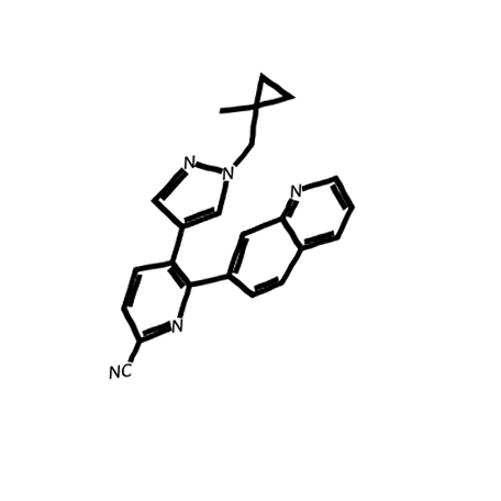 CC1(Cn2cc(-c3ccc(C#N)nc3-c3ccc4cccnc4c3)cn2)CC1